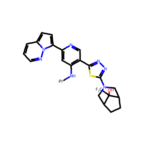 CC(C)Nc1cc(-c2ccc3cccnn23)ncc1-c1nnc(N2CC3CCC(C2)C3(O)C(F)(F)F)s1